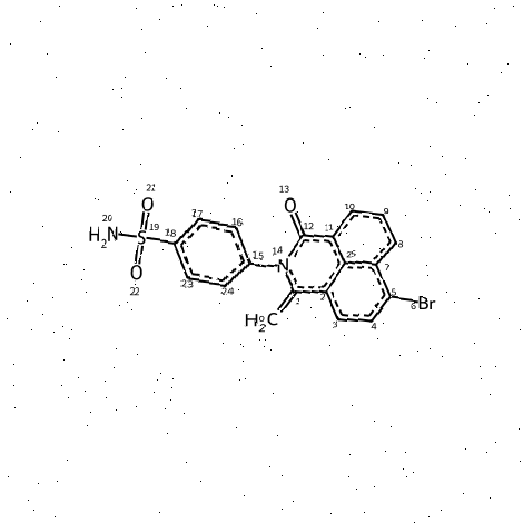 C=c1c2ccc(Br)c3cccc(c(=O)n1-c1ccc(S(N)(=O)=O)cc1)c32